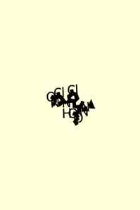 CCOC(=O)c1nn(C2CC2)c(C)c1Cc1ccc(Cl)cc1Nc1cc(Cl)c(=O)n(C)c1